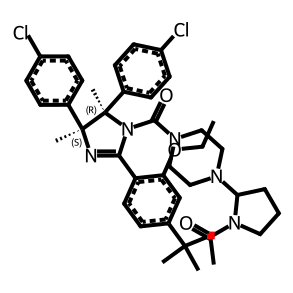 CCOc1cc(C(C)(C)C)ccc1C1=N[C@@](C)(c2ccc(Cl)cc2)[C@@](C)(c2ccc(Cl)cc2)N1C(=O)N1CCN(C2CCCN2C(C)=O)CC1